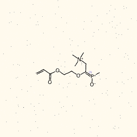 C=CC(=O)OCCO/C(C[N+](C)(C)C)=[P+](/C)[O-]